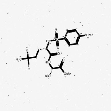 CCCC[C@H](NC(=O)[C@H](CCC(C)(F)F)NS(=O)(=O)c1ccc(OC)cc1)C(=O)OC